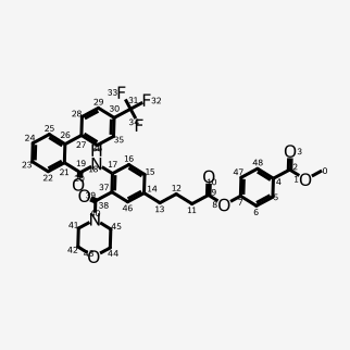 COC(=O)c1ccc(OC(=O)CCCc2ccc(NC(=O)c3ccccc3-c3ccc(C(F)(F)F)cc3)c(C(=O)N3CCOCC3)c2)cc1